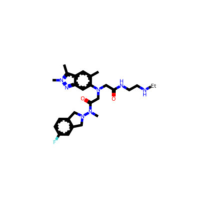 CCNCCNC(=O)CN(CC(=O)N(C)N1Cc2ccc(F)cc2C1)c1cc2nn(C)c(C)c2cc1C